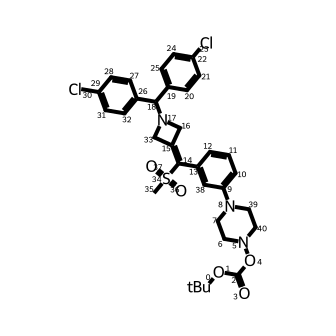 CC(C)(C)OC(=O)ON1CCN(c2cccc(C(=C3CN(C(c4ccc(Cl)cc4)c4ccc(Cl)cc4)C3)S(C)(=O)=O)c2)CC1